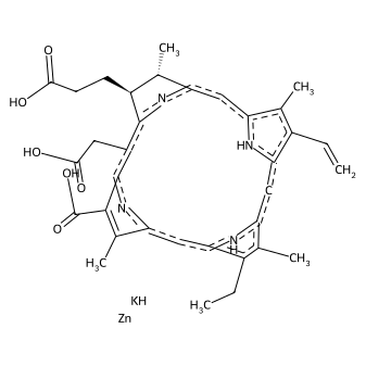 C=Cc1c(C)c2cc3nc(c(CC(=O)O)c4nc(cc5[nH]c(cc1[nH]2)c(C)c5CC)C(C)=C4C(=O)O)[C@@H](CCC(=O)O)[C@@H]3C.[KH].[Zn]